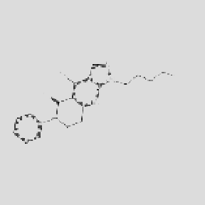 CCCCCn1ncc2c(N)c3c(nc21)CCC(c1ccccc1)C3=O